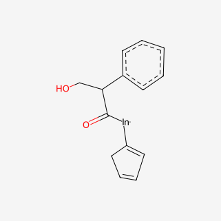 O=[C]([In][C]1=CC=CC1)C(CO)c1ccccc1